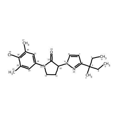 CCC(C)(CC)c1ccn(C2CCN(c3cc(C)c(Cl)c(C)c3)C2=O)n1